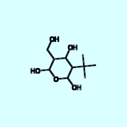 CC(C)(C)C1C(O)OC(O)C(CO)C1O